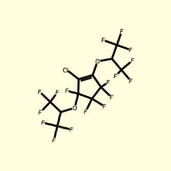 FC(F)(F)C(OC1=C(Cl)C(F)(OC(C(F)(F)F)C(F)(F)F)C(F)(F)C1(F)F)C(F)(F)F